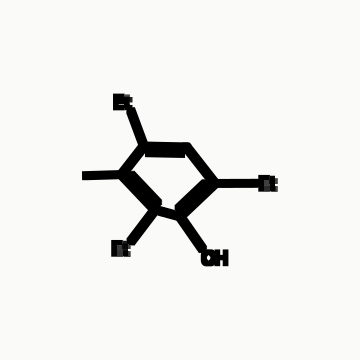 CCc1cc(CC)c(O)c(CC)c1C